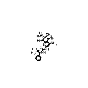 COC(=N)c1c(N)cc(NC(=O)N[C@@H](c2ccccc2)C(C)(C)O)nc1C(=N)OC(C)=N